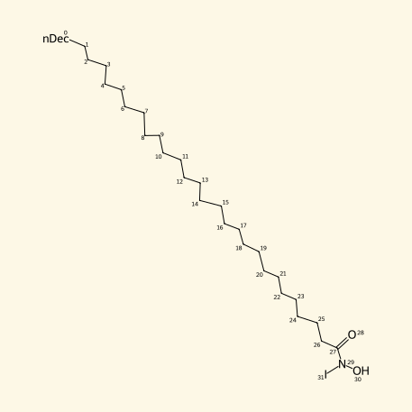 CCCCCCCCCCCCCCCCCCCCCCCCCCCCCCCCCCCCC(=O)N(O)I